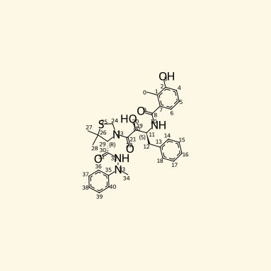 Cc1c(O)cccc1C(=O)N[C@@H](Cc1ccccc1)[C@H](O)C(=O)N1CSC(C)(C)[C@H]1C(=O)NN(C)c1ccccc1